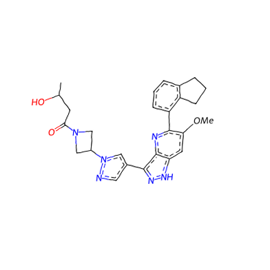 COc1cc2[nH]nc(-c3cnn(C4CN(C(=O)CC(C)O)C4)c3)c2nc1-c1cccc2c1CCC2